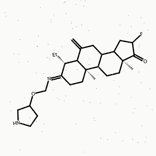 C=C1CC2C(CC[C@]3(C)C(=O)C(F)CC23)[C@@]2(C)CC/C(=N\COC3CCNC3)[C@H](CC)C12